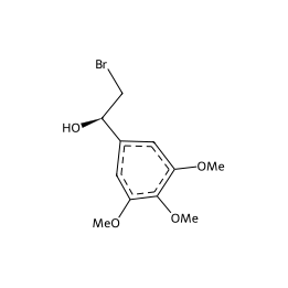 COc1cc([C@@H](O)CBr)cc(OC)c1OC